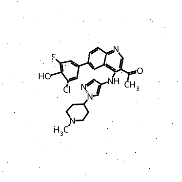 CC(=O)c1cnc2ccc(-c3cc(F)c(O)c(Cl)c3)cc2c1Nc1cnn(C2CCN(C)CC2)c1